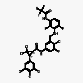 O=C(Nc1cc(F)c(Cl)c(CNc2c(F)ccc(NC(=O)C(F)(F)F)c2F)c1)[C@H]1[C@H](c2cc(Cl)c(Cl)c(Cl)c2)C1(Cl)Cl